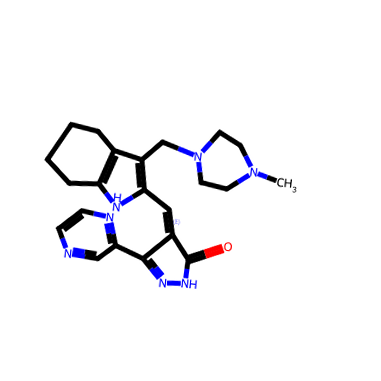 CN1CCN(Cc2c(/C=C3/C(=O)NN=C3c3cnccn3)[nH]c3c2CCCC3)CC1